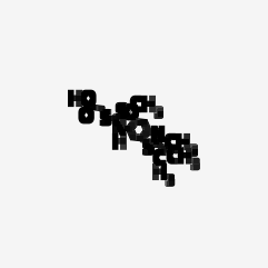 COc1cc2nc(C(C)(C)C)sc2cc1NC(=S)SCC(=O)O